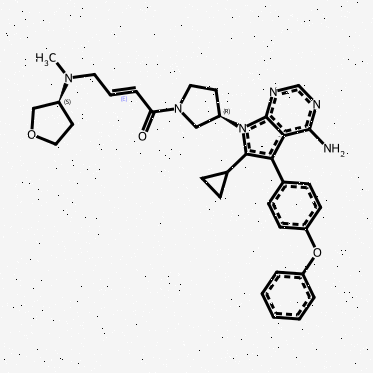 CN(C/C=C/C(=O)N1CC[C@@H](n2c(C3CC3)c(-c3ccc(Oc4ccccc4)cc3)c3c(N)ncnc32)C1)[C@H]1CCOC1